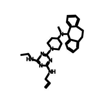 C=CCNc1nc(NCC)nc(N2CCC(N(C)C3c4ccccc4CCc4ccccc43)CC2)n1